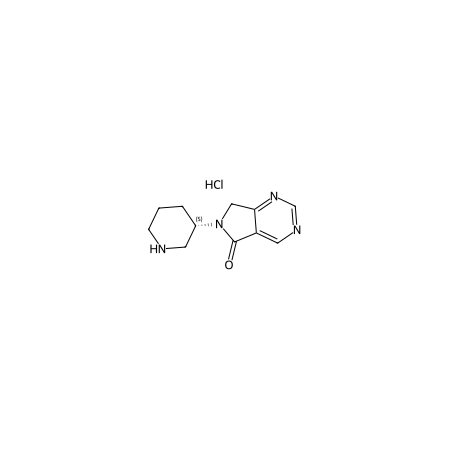 Cl.O=C1c2cncnc2CN1[C@H]1CCCNC1